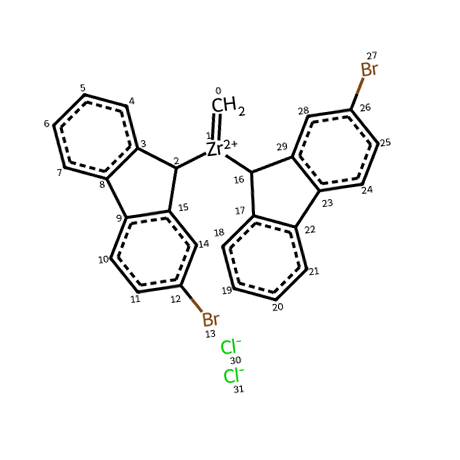 [CH2]=[Zr+2]([CH]1c2ccccc2-c2ccc(Br)cc21)[CH]1c2ccccc2-c2ccc(Br)cc21.[Cl-].[Cl-]